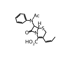 C/C=C\C1=C(C(=O)O)N2C(=O)C(N(C(C)=O)c3ccccc3)[C@@H]2SC1